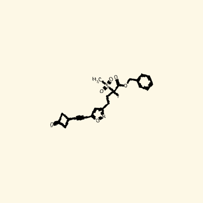 CS(=O)(=O)C(I)(CCc1cc(C#CC2CC(=O)C2)on1)C(=O)OCc1ccccc1